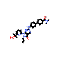 C=CCn1c(=O)c2cnc(Nc3ccc(C4CCC(C(=O)N(C)C)CC4)cc3)nc2n1-c1cccc(C(C)(C)O)n1